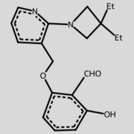 CCC1(CC)CN(c2ncccc2COc2cccc(O)c2C=O)C1